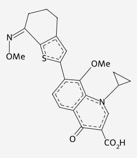 CO/N=C1/CCCc2cc(-c3ccc4c(=O)c(C(=O)O)cn(C5CC5)c4c3OC)sc21